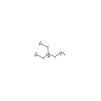 CC[SiH](CCl)CCl